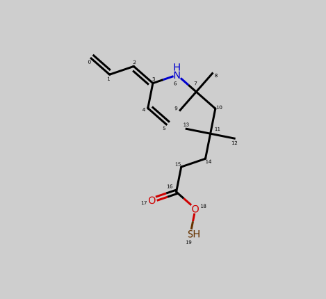 C=C/C=C(\C=C)NC(C)(C)CC(C)(C)CCC(=O)OS